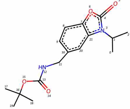 CC(C)n1c(=O)oc2ccc(CNC(=O)OC(C)(C)C)cc21